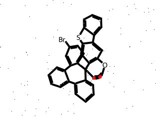 Brc1ccc2c(c1)-c1ccccc1-c1ccccc1C21c2ccccc2Oc2cc3c(cc21)sc1ccccc13